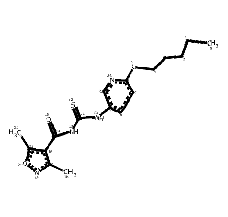 CCCCCOc1ccc(NC(=S)NC(=O)c2c(C)noc2C)cn1